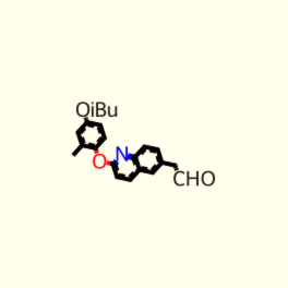 Cc1cc(OCC(C)C)ccc1Oc1ccc2cc(CC=O)ccc2n1